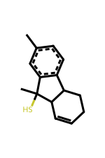 Cc1ccc2c(c1)C(C)(S)C1C=CCCC21